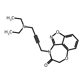 CCN(CC)CC#CCN1C(=O)COc2cccc3onc1c23